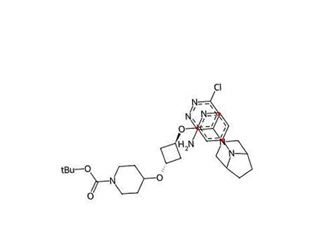 CC(C)(C)OC(=O)N1CCC(O[C@H]2C[C@H](Oc3cc(N4C5CCC4CN(c4cc(Cl)nnc4N)C5)ccn3)C2)CC1